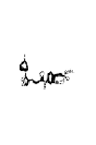 COP(=O)(Cc1ccc(NC(=O)CCc2cnoc2-c2ccc(F)cc2)cc1)OC